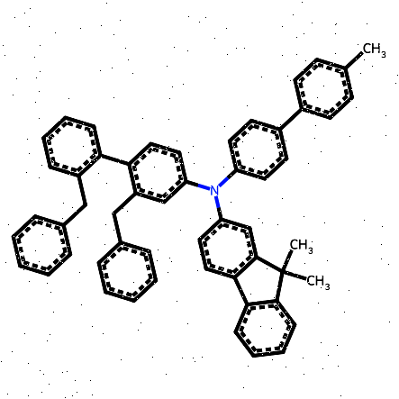 Cc1ccc(-c2ccc(N(c3ccc(-c4ccccc4Cc4ccccc4)c(Cc4ccccc4)c3)c3ccc4c(c3)C(C)(C)c3ccccc3-4)cc2)cc1